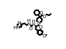 CCCOC(=O)C1(C2CCCCC2)CCN(C(=O)C(Cc2ccc(OC)cc2)NC(=O)NCCc2c[nH]cn2)CC1